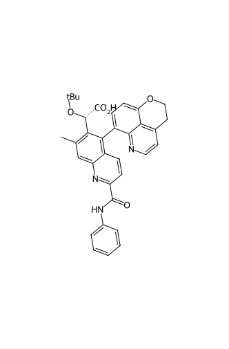 Cc1cc2nc(C(=O)Nc3ccccc3)ccc2c(-c2ccc3c4c(ccnc24)CCO3)c1[C@H](OC(C)(C)C)C(=O)O